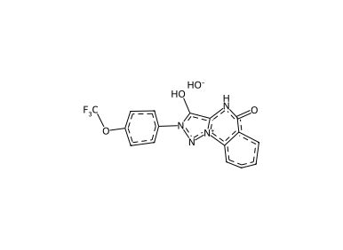 O=c1[nH]c2c(O)n(-c3ccc(OC(F)(F)F)cc3)n[n+]2c2ccccc12.[OH-]